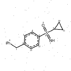 CC(C)Cc1ccc(S(=N)(=O)C2CC2)cc1